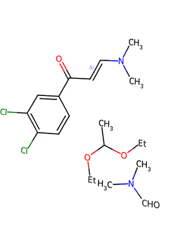 CCOC(C)OCC.CN(C)/C=C/C(=O)c1ccc(Cl)c(Cl)c1.CN(C)C=O